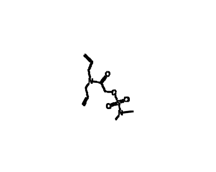 C=CCN(CC=C)C(=O)COS(=O)(=O)N(C)C